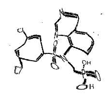 O=P(O)(O)CN(c1cccc2cncnc12)S(=O)(=O)c1cc(Cl)cc(Cl)c1